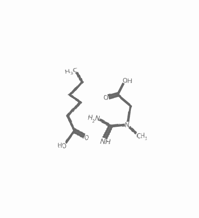 CCCCCC(=O)O.CN(CC(=O)O)C(=N)N